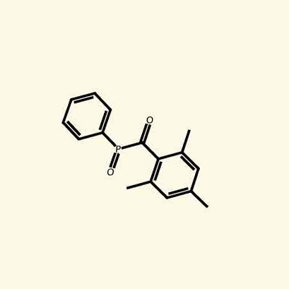 Cc1cc(C)c(C(=O)[P](=O)c2ccccc2)c(C)c1